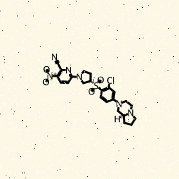 N#Cc1nc(N2CC[C@H](S(=O)(=O)c3ccc(N4CCN5CCC[C@H]5C4)cc3Cl)C2)ccc1[N+](=O)[O-]